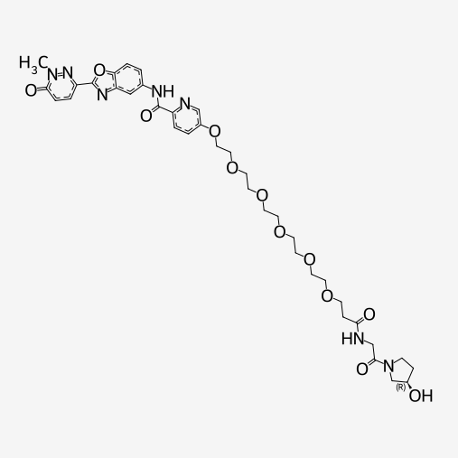 Cn1nc(-c2nc3cc(NC(=O)c4ccc(OCCOCCOCCOCCOCCOCCC(=O)NCC(=O)N5CC[C@@H](O)C5)cn4)ccc3o2)ccc1=O